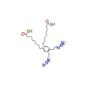 [N-]=[N+]=NCCc1cc(CCCCCCCC(=O)S)c(CCCCCCCC(=O)S)cc1CCN=[N+]=[N-]